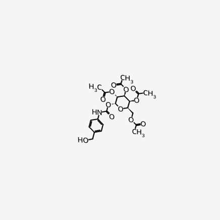 CC(=O)OC[C@H]1O[C@H](OC(=O)Nc2ccc(CO)cc2)[C@H](OC(C)=O)[C@@H](OC(C)=O)[C@H]1OC(C)=O